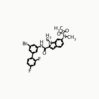 CN(c1ccc2cc(C(=O)Nc3cc(Br)cc(-c4ccc(F)cc4F)c3)n(C)c2c1)S(C)(=O)=O